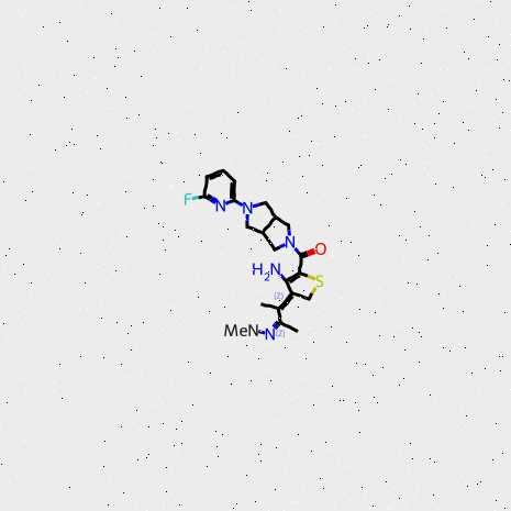 CN/N=C(C)\C(C)=C1/CSC(C(=O)N2CC3CN(c4cccc(F)n4)CC3C2)=C1N